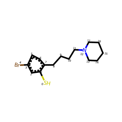 Sc1cc(Br)ccc1CCCCN1CCCCC1